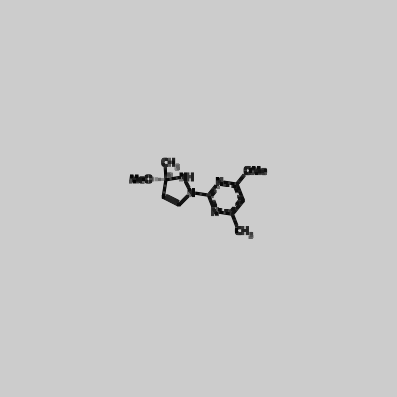 COc1cc(C)nc(N2C=C[C@](C)(OC)N2)n1